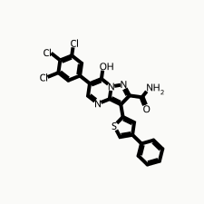 NC(=O)c1nn2c(O)c(-c3cc(Cl)c(Cl)c(Cl)c3)cnc2c1-c1cc(-c2ccccc2)cs1